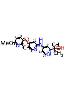 COc1ccc(Oc2ccnc(Nc3ccnc(C(C)(C)O)c3)c2)c(C)n1